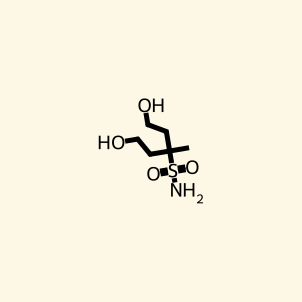 CC(CCO)(CCO)S(N)(=O)=O